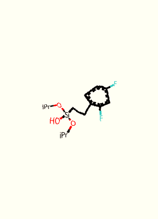 CC(C)O[Si](O)(CCc1ccc(F)cc1F)OC(C)C